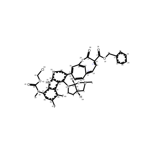 CN1C[C@@H]2CCN(c3c(C4=CC5=C/C(=C\C=C(\C(=O)OCc6ccccc6)C(=O)C5)C=C4)cnc4[nH]c5c(N(C)C(=O)OCCl)cc(F)c(F)c5c34)[C@@H]2C1